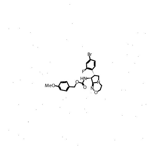 COc1ccc(COC(=O)N[C@@H]2C3=NOCCN3C[C@H]2c2ccc(Br)cc2F)cc1